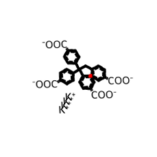 O=C([O-])c1ccc(CC(c2ccc(C(=O)[O-])cc2)(c2ccc(C(=O)[O-])cc2)c2ccc(C(=O)[O-])cc2)cc1.[K+].[K+].[K+].[K+]